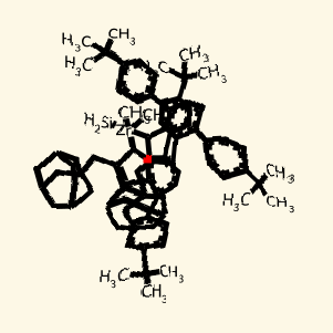 CC(C)(C)c1ccc(-c2ccc(-c3ccc(C(C)(C)C)cc3)c3c2C=C(CC24CC5CC(CC(C5)C2)C4)[CH]3[Zr]([CH3])([CH3])(=[SiH2])[CH]2C(CC34CC5CC(CC(C5)C3)C4)=Cc3c(-c4ccc(C(C)(C)C)cc4)ccc(-c4ccc(C(C)(C)C)cc4)c32)cc1